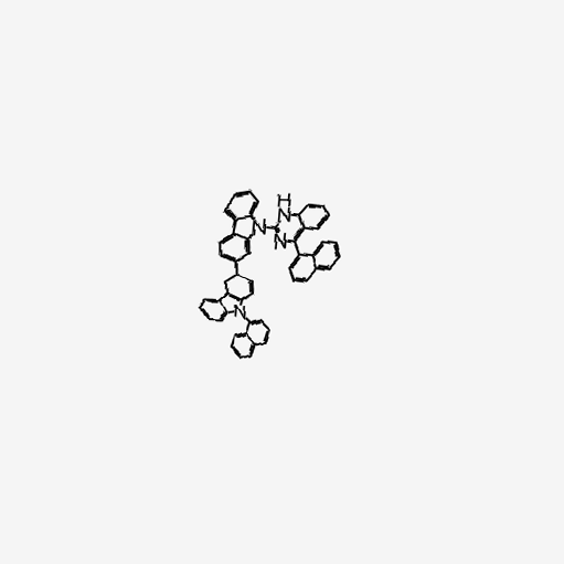 C1=CC2=C(c3cccc4ccccc34)N=C(n3c4ccccc4c4ccc(C5C=Cc6c(c7ccccc7n6-c6cccc7ccccc67)C5)cc43)NC2C=C1